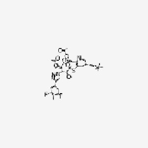 COC1C(n2cc(-c3cc(F)c(C)c(F)c3)nn2)[C@@H](OC(C)=O)C(COC(C)=O)O[C@@H]1Sc1cc(C#C[Si](C)(C)C)cnc1C#N